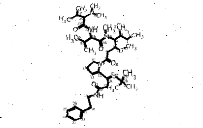 CCC(C)C(C(CC(=O)N1CCCC1C(CC(=O)NCCc1ccccc1)SC(C)(C)C)OC)N(C)C(=O)C(NC(=O)C(C(C)C)N(C)C)C(C)C